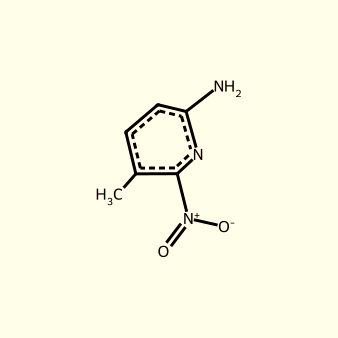 Cc1ccc(N)nc1[N+](=O)[O-]